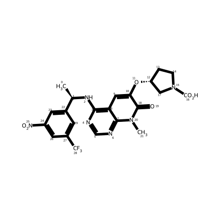 C[C@@H](Nc1ncnc2c1cc(O[C@@H]1CCN(C(=O)O)C1)c(=O)n2C)c1cc([N+](=O)[O-])cc(C(F)(F)F)c1